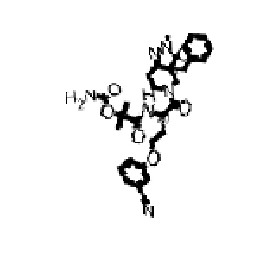 CN1N=C2CCN(C(=O)[C@@H](CCOc3cccc(C#N)c3)NC(=O)C(C)(C)OC(N)=O)C[C@@]2(Cc2ccccc2)C1=O